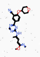 C=N/C(=C\C=C(/C)Nc1ncnc(-c2ccc(OC3CCOCC3)c(C#N)c2)n1)OC